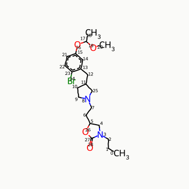 CCCN1CC(CCN2CCC(Cc3cc(OC(C)OC)ccc3Br)C2)OC1=O